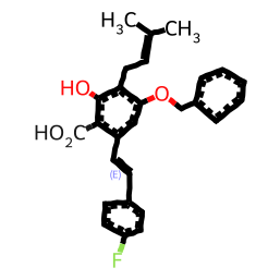 CC(C)=CCc1c(OCc2ccccc2)cc(/C=C/c2ccc(F)cc2)c(C(=O)O)c1O